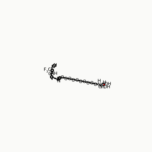 Cc1ccc(C(=O)Nc2ccc(CN3CCN(C)CC3)c(C(F)(F)F)c2)cc1C#Cc1cnc2cc(OCCOCCOCCOCCOCCOCCOCCOCCOCCOCCNC(=O)[C@H]3C[C@@H]4C[C@H]3[C@@H](O)[C@H]4O)ccn12